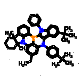 CCc1cc2c3c(c1)N1c4c(cccc4C4(C)CCCCC14C)P3c1c(c3cc(C(C)(C)C)ccc3n1-c1ccccc1)N2c1ccc(C(C)(C)C)cc1